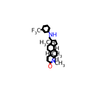 CN1C(=O)C=C[C@]2(C)[C@H]3CC[C@]4(C)C(CNc5cccc(C(F)(F)F)c5)CC[C@H]4[C@@H]3CC[C@@H]12